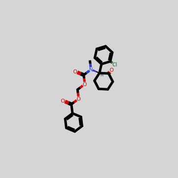 CN(C(=O)OCOC(=O)c1ccccc1)[C@]1(c2ccccc2Cl)CCCCC1=O